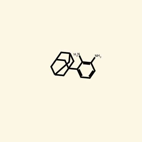 Nc1cccc(C23CC4CC(CC(C4)C2)C3)c1N